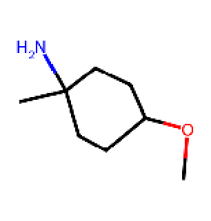 COC1CCC(C)(N)CC1